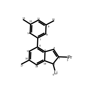 [Li][CH]1C(C(C)C)=Cc2c(-c3cc(C)cc(C)c3)cc(C)cc21